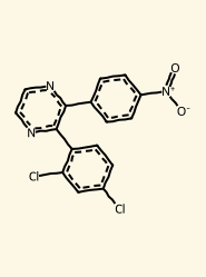 O=[N+]([O-])c1ccc(-c2nccnc2-c2ccc(Cl)cc2Cl)cc1